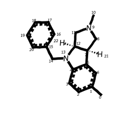 Cc1ccc2c(c1)[C@@H]1CN(C)C[C@@H]1N2Cc1ccccc1